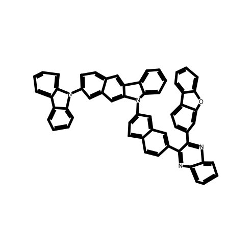 c1ccc2nc(-c3ccc4c(c3)oc3ccccc34)c(-c3ccc4ccc(-n5c6ccccc6c6cc7ccc(-n8c9ccccc9c9ccccc98)cc7cc65)cc4c3)nc2c1